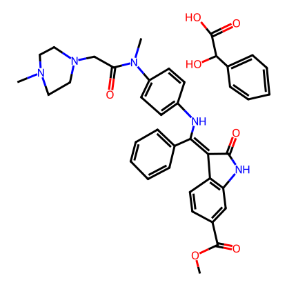 COC(=O)c1ccc2c(c1)NC(=O)/C2=C(\Nc1ccc(N(C)C(=O)CN2CCN(C)CC2)cc1)c1ccccc1.O=C(O)C(O)c1ccccc1